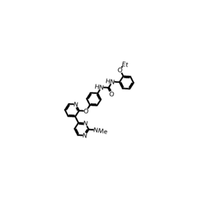 CCOc1ccccc1NC(=O)Nc1ccc(Oc2ncccc2-c2ccnc(NC)n2)cc1